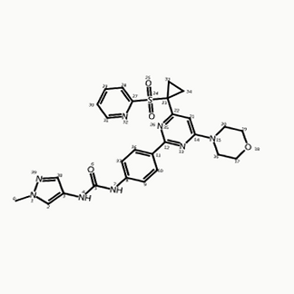 Cn1cc(NC(=O)Nc2ccc(-c3nc(N4CCOCC4)cc(C4(S(=O)(=O)c5ccccn5)CC4)n3)cc2)cn1